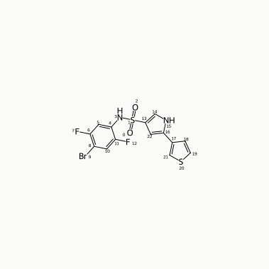 O=S(=O)(Nc1cc(F)c(Br)cc1F)c1c[nH]c(-c2ccsc2)c1